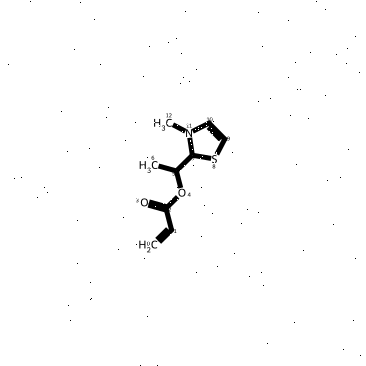 C=CC(=O)OC(C)C1SC=CN1C